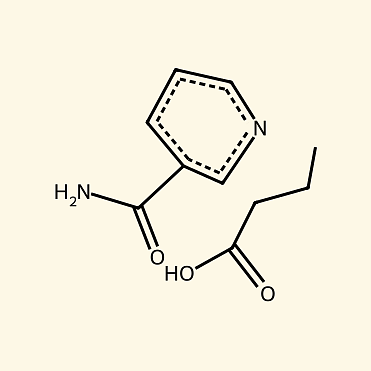 CCCC(=O)O.NC(=O)c1cccnc1